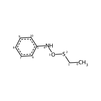 CCSONc1ccccc1